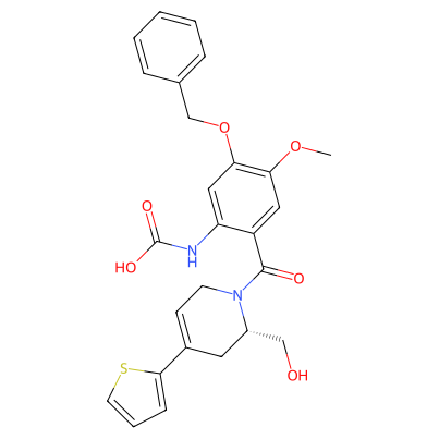 COc1cc(C(=O)N2CC=C(c3cccs3)C[C@H]2CO)c(NC(=O)O)cc1OCc1ccccc1